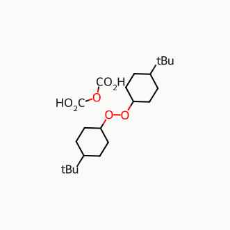 CC(C)(C)C1CCC(OOC2CCC(C(C)(C)C)CC2)CC1.O=C(O)OC(=O)O